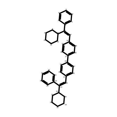 C(=C(c1ccccc1)C1CCCCC1)c1ccc(-c2ccc(C=C(c3ccccc3)C3CCCCC3)cc2)cc1